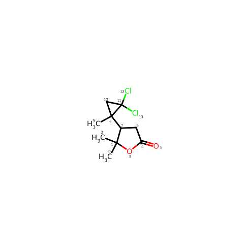 CC1(C)OC(=O)CC1C1(C)CC1(Cl)Cl